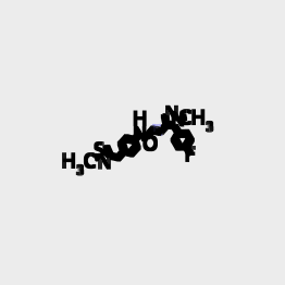 Cc1nc(Cc2ccc(NC(=O)/C=C/c3cnn(C)c3-c3ccc(F)cc3)cc2)cs1